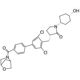 O=C(c1ccc(-c2cc(Cl)c(C[C@@H]3CCN([C@H]4CC[C@@H](O)CC4)C3=O)c(Cl)c2)cc1)N1CC2CC1CO2